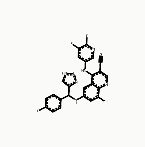 N#Cc1cnc2c(Cl)cc(NC(c3ccc(F)cc3)c3c[nH]nn3)cc2c1Nc1cnc(F)c(F)c1